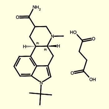 CN1CC(C(N)=O)C[C@@H]2c3cccc4c3c(cn4C(C)(C)C)C[C@H]21.O=C(O)CCC(=O)O